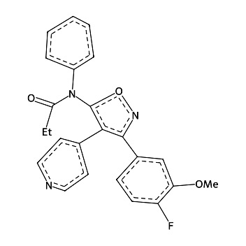 CCC(=O)N(c1ccccc1)c1onc(-c2ccc(F)c(OC)c2)c1-c1ccncc1